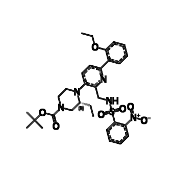 CCOc1ccccc1-c1ccc(N2CCN(C(=O)OC(C)(C)C)C[C@H]2CC)c(CNS(=O)(=O)c2ccccc2[N+](=O)[O-])n1